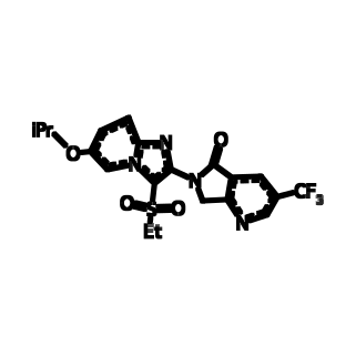 CCS(=O)(=O)c1c(N2Cc3ncc(C(F)(F)F)cc3C2=O)nc2ccc(OC(C)C)cn12